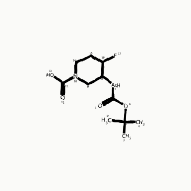 CC(C)(C)OC(=O)[AsH]C1CN(C(=O)O)CCC1F